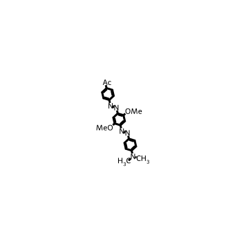 COc1cc(/N=N/c2ccc(N(C)C)cc2)c(OC)cc1/N=N/c1ccc(C(C)=O)cc1